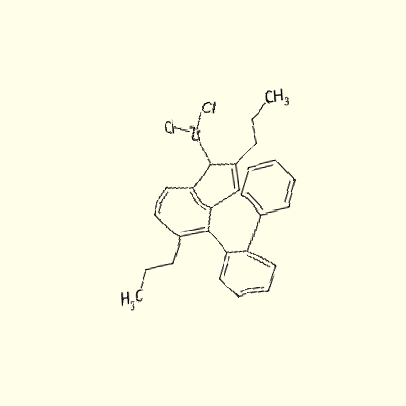 CCCC1=Cc2c(ccc(CCC)c2-c2ccccc2-c2ccccc2)[CH]1[Zr]([Cl])[Cl]